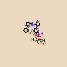 C[C@H]1CN(c2ccncc2NCc2ccc(F)c(C3=CCCCC3)n2)C[C@@H](NC(=O)OC(C)(C)C)[C@@H]1O